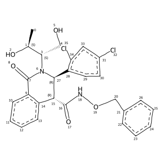 C[C@H](O)[C@H](CO)N1C(=O)c2ccccc2[C@@H](C(=O)NOCc2ccccc2)[C@@H]1c1ccc(Cl)cc1Cl